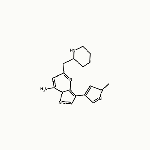 Cn1cc(-c2cnn3c(N)cc(CC4CCCCN4)nc23)cn1